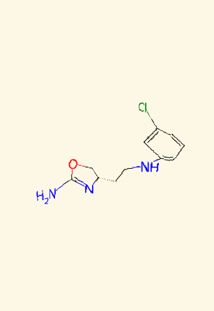 NC1=N[C@@H](CCNc2cccc(Cl)c2)CO1